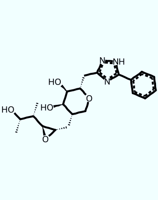 C[C@H]([C@@H]1O[C@H]1C[C@H]1CO[C@@H](Cc2n[nH]c(-c3ccccc3)n2)[C@H](O)[C@@H]1O)[C@H](C)O